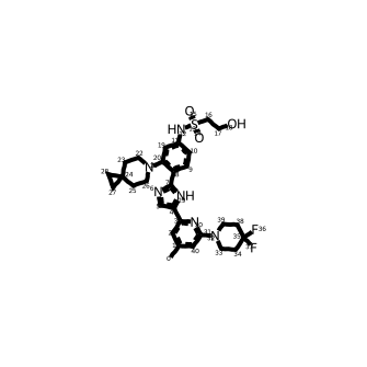 Cc1cc(-c2cnc(-c3ccc(NS(=O)(=O)CCO)cc3N3CCC4(CC3)CC4)[nH]2)nc(N2CCC(F)(F)CC2)c1